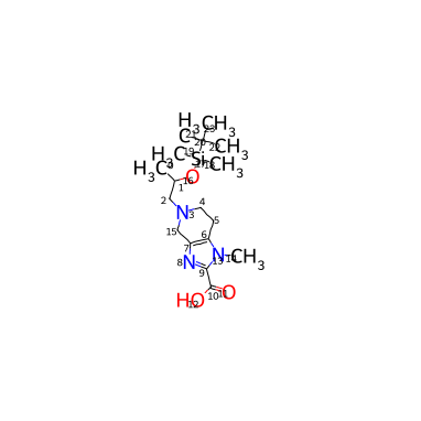 CC(CN1CCc2c(nc(C(=O)O)n2C)C1)O[Si](C)(C)C(C)(C)C